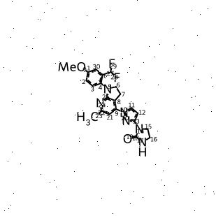 COc1ccc(N2CCc3c(-n4ccc(N5CCNC5=O)n4)cc(C)nc32)c(C(F)F)c1